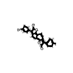 Cc1ccc(C2=c3ccc4c5c(ccc4c3OC2=O)=C(c2ccc(Br)cc2)C(=O)O5)cc1